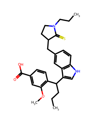 CCCC(c1ccc(C(=O)O)cc1OC)c1c[nH]c2ccc(CC3CCN(CCC)C3=S)cc12